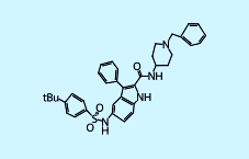 CC(C)(C)c1ccc(S(=O)(=O)Nc2ccc3[nH]c(C(=O)NC4CCN(Cc5ccccc5)CC4)c(-c4ccccc4)c3c2)cc1